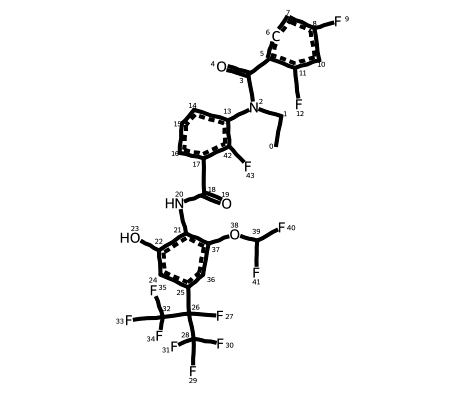 CCN(C(=O)c1ccc(F)cc1F)c1cccc(C(=O)Nc2c(O)cc(C(F)(C(F)(F)F)C(F)(F)F)cc2OC(F)F)c1F